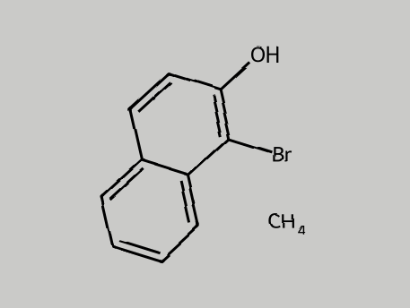 C.Oc1ccc2ccccc2c1Br